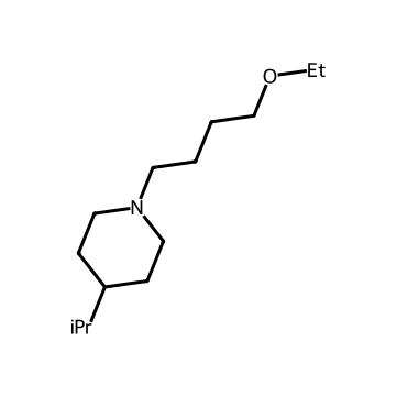 CCOCCCCN1CCC(C(C)C)CC1